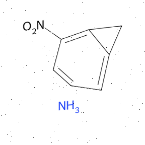 N.O=[N+]([O-])c1cccc2c1C2